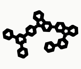 c1ccc(-c2cccc(-n3c4ccccc4c4ccc(-c5ccc6c(c5)c5ccccc5n6-c5ccc(-c6cc(-c7ccccc7)cc(-c7ccccc7)n6)cc5)cc43)c2)cc1